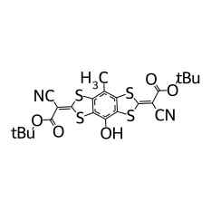 Cc1c2c(c(O)c3c1S/C(=C(/C#N)C(=O)OC(C)(C)C)S3)S/C(=C(/C#N)C(=O)OC(C)(C)C)S2